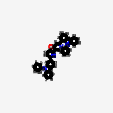 c1ccc(-n2c3ccccc3c3ccc(-c4ccc5oc6cc(-c7cccc8c9ccccc9n(-c9ccccc9)c78)ncc6c5n4)cc32)cc1